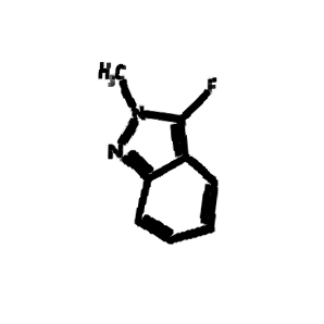 Cn1nc2ccccc2c1F